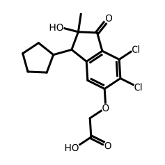 CC1(O)C(=O)c2c(cc(OCC(=O)O)c(Cl)c2Cl)C1C1CCCC1